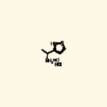 CC(N)c1ccn[nH]1.Cl.Cl